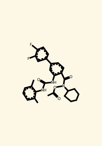 CC(=O)ON(C(=O)c1ccc(-c2ccc(F)c(F)c2)cc1NC(=O)Nc1c(C)cccc1C)C1CCCCC1